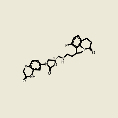 O=C1CSc2ccc(N3C[C@H](CNCCC4CN5C(=O)CCc6ccc(F)c4c65)OC3=O)cc2N1